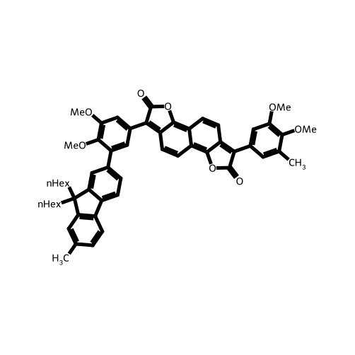 CCCCCCC1(CCCCCC)c2cc(C)ccc2-c2ccc(-c3cc(C4=c5ccc6c7c(ccc6c5OC4=O)=C(c4cc(C)c(OC)c(OC)c4)C(=O)O7)cc(OC)c3OC)cc21